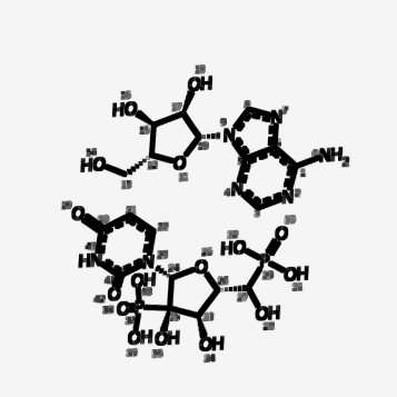 Nc1ncnc2c1ncn2[C@@H]1O[C@H](CO)[C@@H](O)[C@H]1O.O=c1ccn([C@@H]2O[C@H](C(O)P(=O)(O)O)[C@@H](O)[C@]2(O)P(=O)(O)O)c(=O)[nH]1